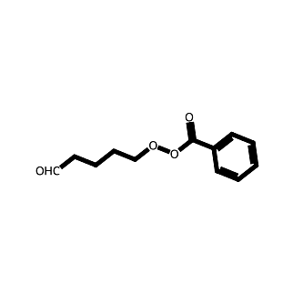 O=CCCCCOOC(=O)c1ccccc1